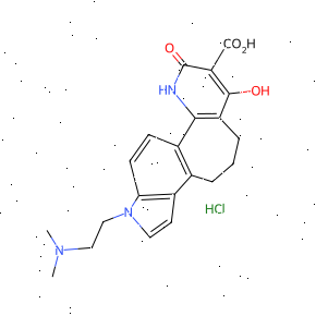 CN(C)CCn1ccc2c3c(ccc21)-c1[nH]c(=O)c(C(=O)O)c(O)c1CCC3.Cl